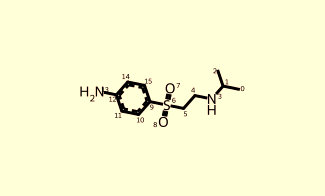 CC(C)NCCS(=O)(=O)c1ccc(N)cc1